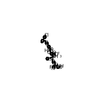 CC1(C)CCC(c2ccc(Cl)cc2)=C(CN2CCN(c3ccc(C(=O)NS(=O)(=O)c4ccc(N[C@H](CCN5CCN(Cc6cc(F)ncc6N6CCC(=O)NC6=O)CC5)CSc5ccccc5)c(S(=O)(=O)C(F)(F)F)c4)cc3)CC2)C1